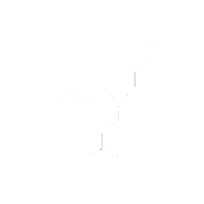 CCCO[SiH](COC(C)=S)OCCC